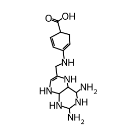 NC1NC(N)C2NC(CNC3=CCC(C(=O)O)C=C3)=CNC2N1